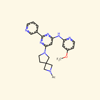 CC(=O)N1CC2(CCN(c3cc(Nc4cc(OC(F)(F)F)ccn4)nc(-c4cccnc4)n3)C2)C1